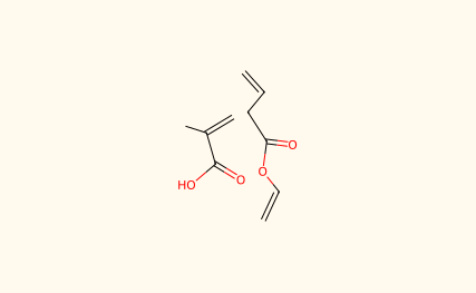 C=C(C)C(=O)O.C=CCC(=O)OC=C